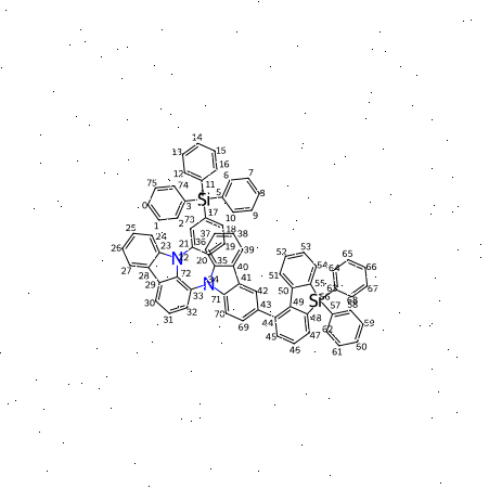 c1ccc([Si](c2ccccc2)(c2ccccc2)c2cccc(-n3c4ccccc4c4cccc(-n5c6ccccc6c6cc(-c7cccc8c7-c7ccccc7[Si]8(c7ccccc7)c7ccccc7)ccc65)c43)c2)cc1